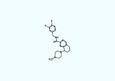 CN1CCN(C2CCCc3ccc(C(=O)NCc4ccc(F)c(F)c4)cc32)CC1